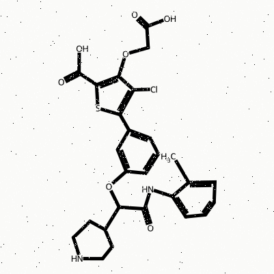 Cc1ccccc1NC(=O)C(Oc1cccc(-c2sc(C(=O)O)c(OCC(=O)O)c2Cl)c1)C1CCNCC1